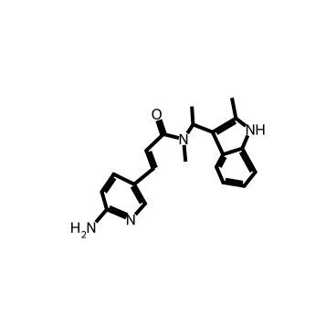 Cc1[nH]c2ccccc2c1C(C)N(C)C(=O)/C=C/c1ccc(N)nc1